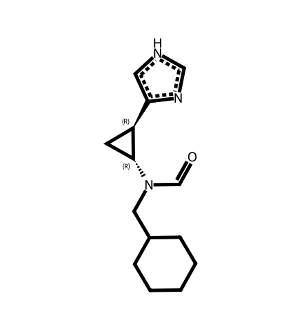 O=CN(CC1CCCCC1)[C@@H]1C[C@H]1c1c[nH]cn1